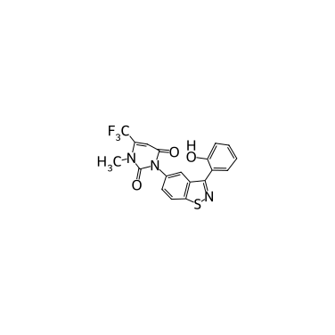 Cn1c(C(F)(F)F)cc(=O)n(-c2ccc3snc(-c4ccccc4O)c3c2)c1=O